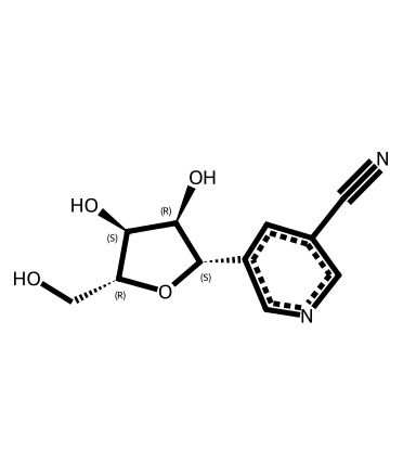 N#Cc1cncc([C@@H]2O[C@H](CO)[C@@H](O)[C@H]2O)c1